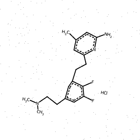 Cc1cc(N)nc(CCc2cc(CCN(C)C)cc(F)c2F)c1.Cl